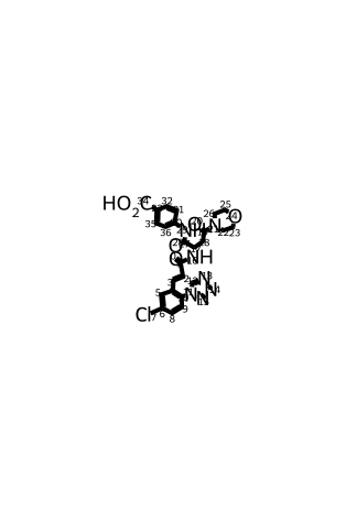 O=C(C=Cc1cc(Cl)ccc1-n1cnnn1)NC(CC(=O)N1CCOCC1)C(=O)Nc1ccc(C(=O)O)cc1